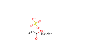 C=CC(=O)O.O=S(=O)([O-])[O-].[Na+].[Na+]